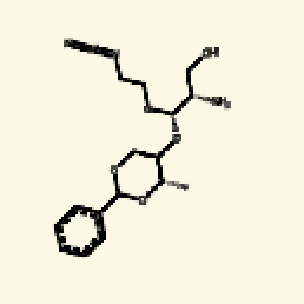 C[C@@H]1OC(c2ccccc2)OCC1O[C@H](OCCN=[N+]=[N-])[C@@H](N)CO